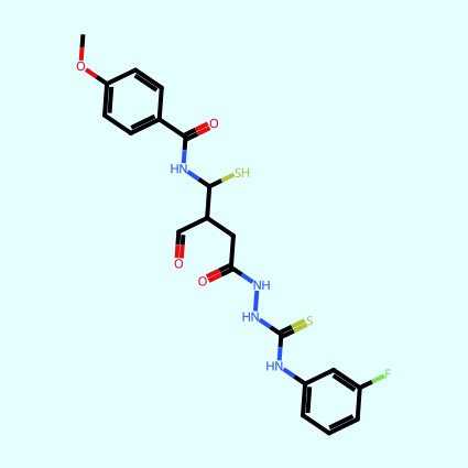 COc1ccc(C(=O)NC(S)C(C=O)CC(=O)NNC(=S)Nc2cccc(F)c2)cc1